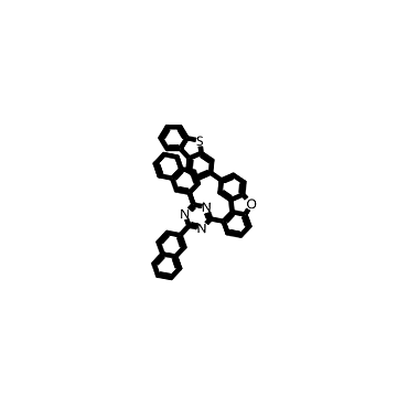 C1=Cc2cc(-c3nc(-c4ccc5ccccc5c4)nc(-c4cccc5oc6ccc(-c7ccc8c(c7)sc7ccccc78)cc6c45)n3)ccc2CC1